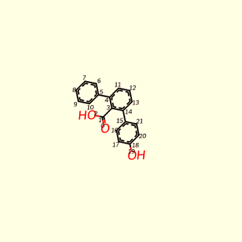 O=C(O)c1c(-c2ccccc2)cccc1-c1ccc(O)cc1